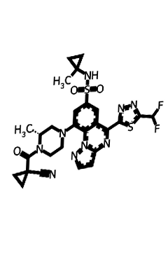 C[C@@H]1CN(c2cc(S(=O)(=O)NC3(C)CC3)cc3c(-c4nnc(C(F)F)s4)nc4ccnn4c23)CCN1C(=O)C1(C#N)CC1